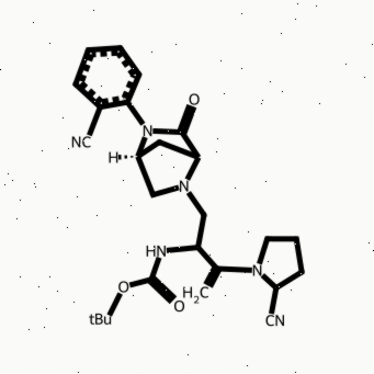 C=C(C(CN1C[C@@H]2CC1C(=O)N2c1ccccc1C#N)NC(=O)OC(C)(C)C)N1CCCC1C#N